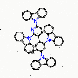 N#Cc1cc(-c2ccc(-n3c4ccccc4c4ccccc43)nc2-n2c3ccccc3c3ccccc32)c(-n2c3ccccc3c3ccccc32)cc1-n1c2ccccc2c2ccccc21